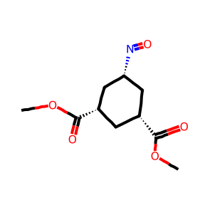 COC(=O)[C@@H]1C[C@H](N=O)C[C@H](C(=O)OC)C1